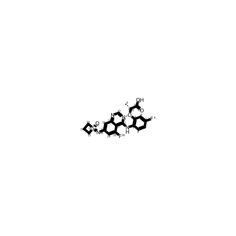 C[C@@H](Oc1cc(F)ccc1Nc1ncnc2cc(N=S3(=O)CCC3)cc(F)c12)C(=O)O